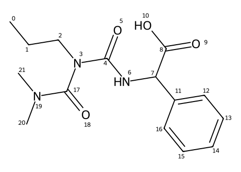 CCCN(C(=O)NC(C(=O)O)c1ccccc1)C(=O)N(C)C